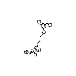 CC(C)(C)OC(=O)NOCCCCCCOc1cc(CCl)cc(CCl)c1